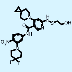 O=C(Nc1ccc([N+](=O)[O-])c(N2CCC(F)(F)CC2)c1)c1cnc(NSCCO)cc1N1CCC2(CC1)CC2